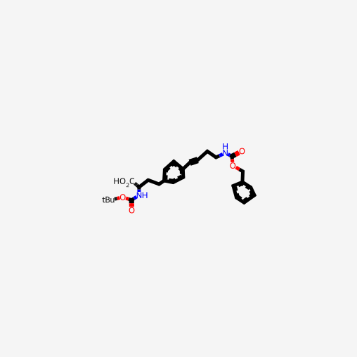 CC(C)(C)OC(=O)NC(CCc1ccc(C#CCCNC(=O)OCc2ccccc2)cc1)C(=O)O